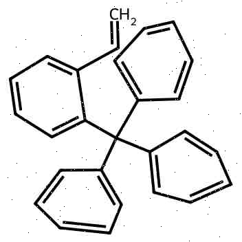 C=Cc1ccccc1C(c1ccccc1)(c1ccccc1)c1ccccc1